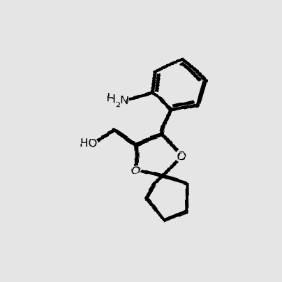 Nc1ccccc1C1OC2(CCCC2)OC1CO